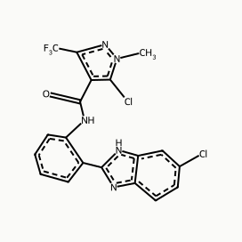 Cn1nc(C(F)(F)F)c(C(=O)Nc2ccccc2-c2nc3ccc(Cl)cc3[nH]2)c1Cl